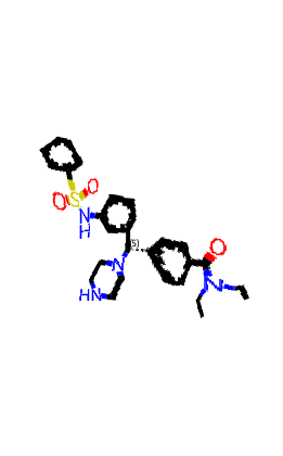 CCN(CC)C(=O)c1ccc([C@@H](c2cccc(NS(=O)(=O)c3ccccc3)c2)N2CCNCC2)cc1